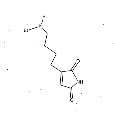 CCN(CC)CCCCC1=CC(=O)NC1=O